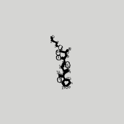 CCCCOC(=O)C(C)CC(=O)c1cc(-c2coc3ccccc23)co1